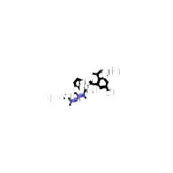 C/C(=C/C(Cn1cccn1)=C(\C)CNC(=O)c1cc(Br)cc2c1c(C)cn2C(C)C)NC=O